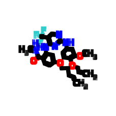 C=CCCCOc1ccc(C(=O)NC)c(Nc2nc(Nc3ccc(OCC=C)c(OC)c3)ncc2C(F)(F)F)c1